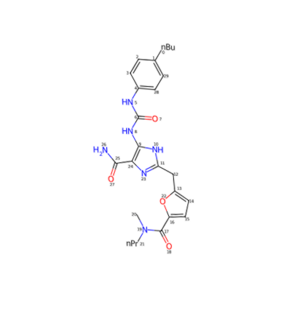 CCCCc1ccc(NC(=O)Nc2[nH]c(Cc3ccc(C(=O)N(C)CCC)o3)nc2C(N)=O)cc1